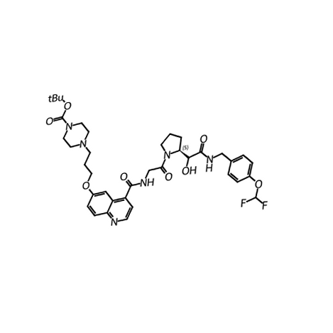 CC(C)(C)OC(=O)N1CCN(CCCOc2ccc3nccc(C(=O)NCC(=O)N4CCC[C@H]4C(O)C(=O)NCc4ccc(OC(F)F)cc4)c3c2)CC1